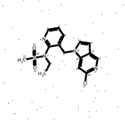 CCN(c1ncccc1Cn1ccc2cnc(Cl)cc21)S(C)(=O)=O